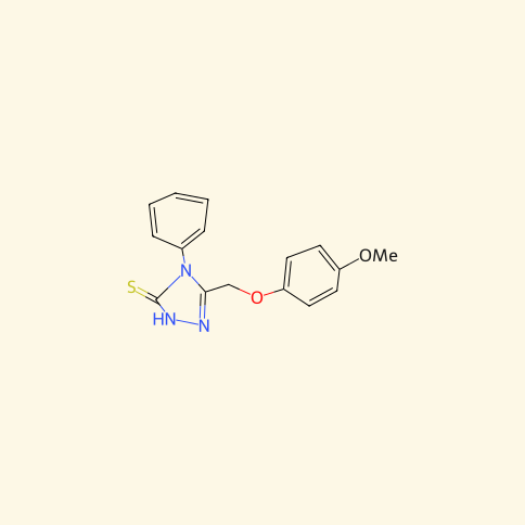 COc1ccc(OCc2n[nH]c(=S)n2-c2ccccc2)cc1